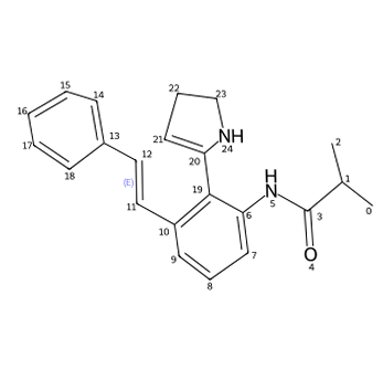 CC(C)C(=O)Nc1cccc(/C=C/c2ccccc2)c1C1=CCCN1